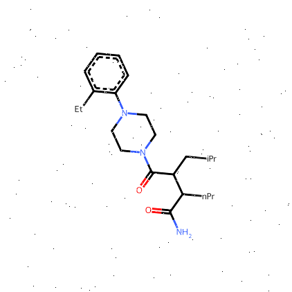 CCCC(C(N)=O)C(CC(C)C)C(=O)N1CCN(c2ccccc2CC)CC1